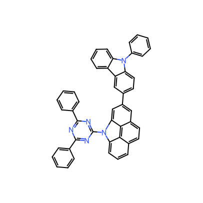 c1ccc(-c2nc(-c3ccccc3)nc(-n3c4cccc5ccc6cc(-c7ccc8c(c7)c7ccccc7n8-c7ccccc7)cc3c6c54)n2)cc1